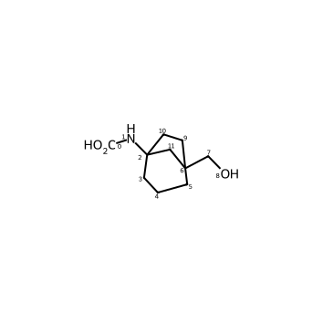 O=C(O)NC12CCCC(CO)(CC1)C2